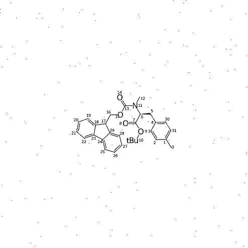 Cc1ccc(C[C@@H](C(=O)OC(C)(C)C)N(C)C(=O)OCC2c3ccccc3-c3ccccc32)cc1